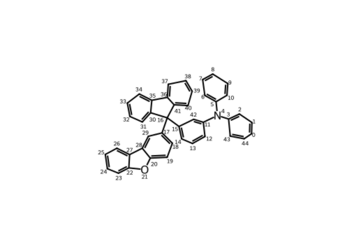 c1ccc(N(c2ccccc2)c2cccc(C3(c4ccc5oc6ccccc6c5c4)c4ccccc4-c4ccccc43)c2)cc1